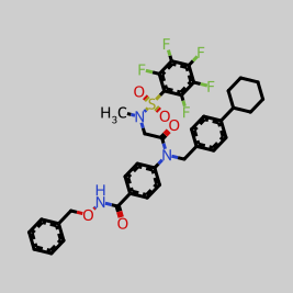 CN(CC(=O)N(Cc1ccc(C2CCCCC2)cc1)c1ccc(C(=O)NOCc2ccccc2)cc1)S(=O)(=O)c1c(F)c(F)c(F)c(F)c1F